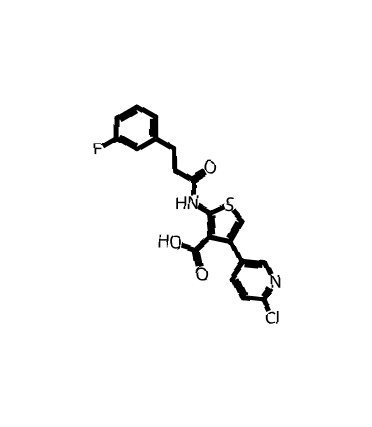 O=C(CCc1cccc(F)c1)Nc1scc(-c2ccc(Cl)nc2)c1C(=O)O